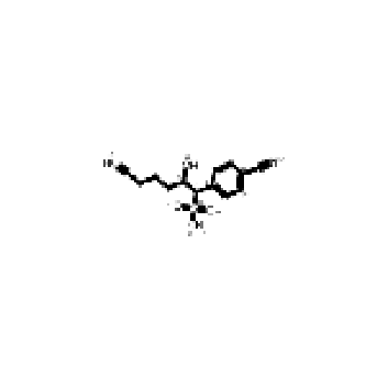 C#CCCCC(O)C(c1ccc(C#N)cc1)S(C)(=O)=O